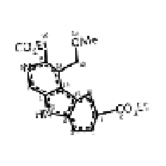 CCOC(=O)c1ccc2[nH]c3cnc(C(=O)OCC)c(COC)c3c2c1